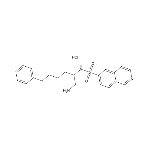 Cl.NCC(CCCCc1ccccc1)NS(=O)(=O)c1ccc2cnccc2c1